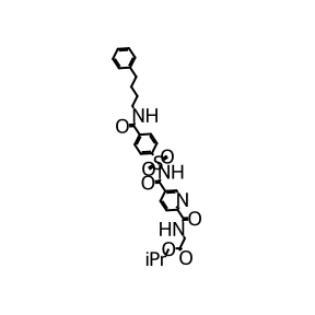 CC(C)OC(=O)CNC(=O)c1ccc(C(=O)NS(=O)(=O)c2ccc(C(=O)NCCCCc3ccccc3)cc2)cn1